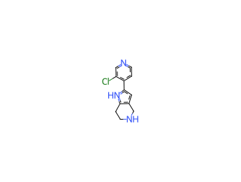 Clc1cnccc1-c1cc2c([nH]1)CCNC2